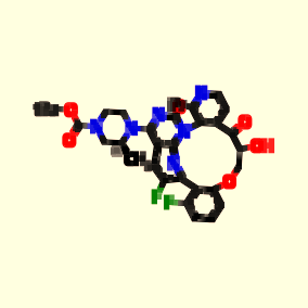 CC(C)c1nccc2c1-n1c(=O)nc(N3CCN(C(=O)OC(C)(C)C)C[C@@H]3C)c3cc(F)c(nc31)-c1c(F)cccc1OCC(O)C2=O